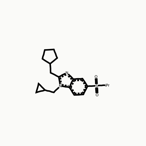 CC(C)S(=O)(=O)c1ccc2c(c1)nc(CC1CCCC1)n2CC1CC1